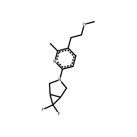 COCCc1ccc(N2CC3C(C2)C3(F)F)nc1C